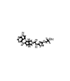 CN(c1ncnc2[nH]ccc12)[C@@H]1C[C@@H]2CN(C(=O)Nc3nc(OCC(C)(C)O)ns3)C[C@@H]2C1